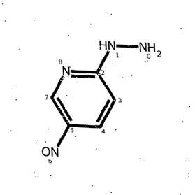 NNc1ccc(N=O)cn1